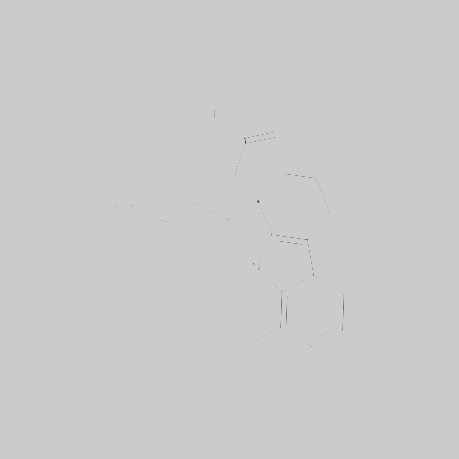 CCCCC1(CC(=O)O)OCCc2c1[nH]c1c(Cl)cccc21